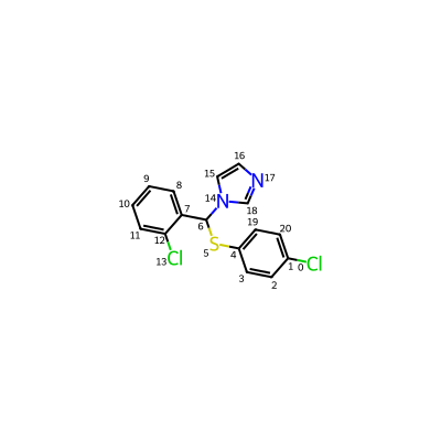 Clc1ccc(SC(c2ccccc2Cl)n2ccnc2)cc1